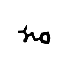 CN(I)C(=O)OCc1ccccc1